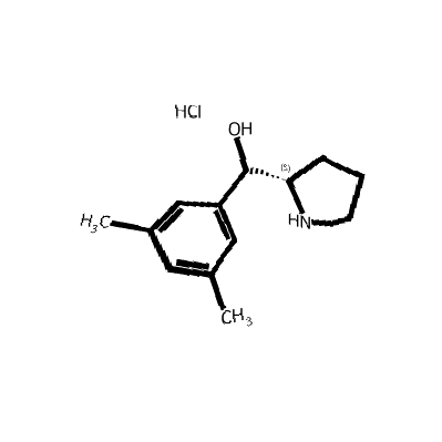 Cc1cc(C)cc(C(O)[C@@H]2CCCN2)c1.Cl